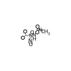 CCn1c2ccccc2c2cc(NC(=O)N(CCC(c3ccccc3)c3ccccc3)CCN3CCOCC3)ccc21